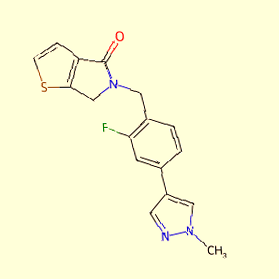 Cn1cc(-c2ccc(CN3Cc4sccc4C3=O)c(F)c2)cn1